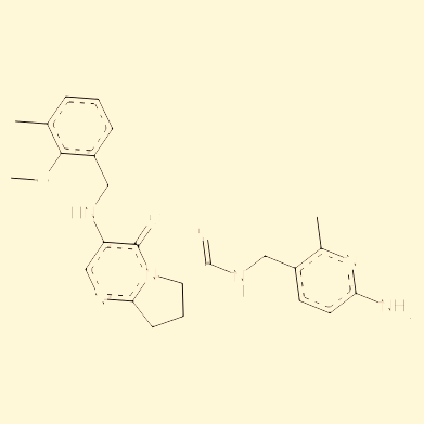 COc1c(C)cccc1CNc1cnc2n(c1=O)[C@H](C(=O)NCc1ccc(N)nc1C)CC2